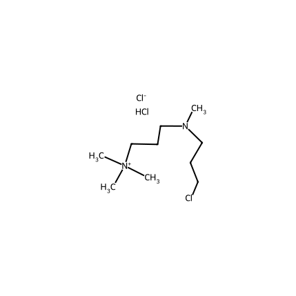 CN(CCCCl)CCC[N+](C)(C)C.Cl.[Cl-]